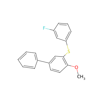 COc1ccc(-c2ccccc2)cc1Sc1cccc(F)c1